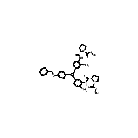 CC(C)(C)OC(=O)N1CCC[C@H]1C(=O)Nc1ccc(C2C(c3ccc(OCc4ccccc4)cc3)C2c2ccc(N)c(NC(=O)[C@@H]3CCCN3C(=O)OC(C)(C)C)c2)cc1N